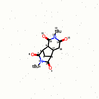 CC(C)(C)N1C(=O)C2CC(C1=O)C1C(=O)N(C(C)(C)C)C(=O)CC21